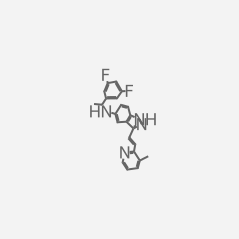 Cc1cccnc1/C=C/c1n[nH]c2ccc(NC(C)c3cc(F)cc(F)c3)cc12